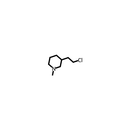 CN1CCCC(CCCl)C1